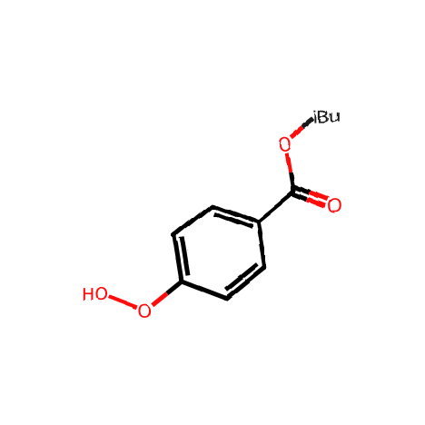 CCC(C)OC(=O)c1ccc(OO)cc1